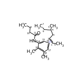 C/C=C\CC(C)CC.CCCC(=O)Nc1cccc(C)c1C